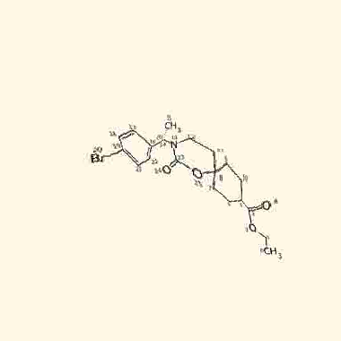 CCOC(=O)C1CCC2(CC1)CCN([C@@H](C)c1ccc(Br)cc1)C(=O)O2